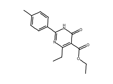 CCOC(=O)c1c(CC)nc(-c2ccc(C)cc2)[nH]c1=O